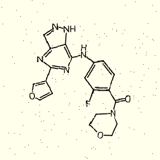 O=C(c1ccc(Nc2nc(-c3ccoc3)nc3cn[nH]c23)cc1F)N1CCOCC1